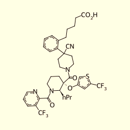 CCC[C@H]1N(C(=O)c2ncccc2C(F)(F)F)CCC[C@@]1(Oc1csc(C(F)(F)F)c1)C(=O)N1CCC(C#N)(c2ccccc2CCCCC(=O)O)CC1